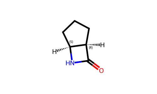 O=C1N[C@H]2CCC[C@@H]12